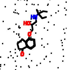 CCC(C)(CC)NCC(O)COc1cccc2c1CCCC2=O